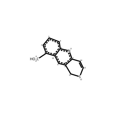 O=C(O)c1cccc2nc3c(cc12)CSC=C3